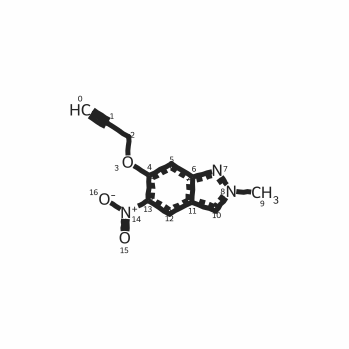 C#CCOc1cc2nn(C)cc2cc1[N+](=O)[O-]